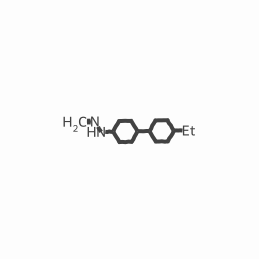 C=NNC1CCC(C2CCC(CC)CC2)CC1